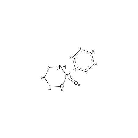 O=P1(c2ccccc2)NCCCO1